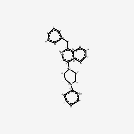 c1ccc(Cc2nnc(N3CCN(c4ccccn4)CC3)c3ccccc23)cc1